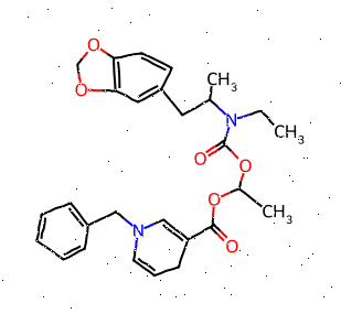 CCN(C(=O)OC(C)OC(=O)C1=CN(Cc2ccccc2)C=CC1)C(C)Cc1ccc2c(c1)OCO2